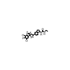 CCNC(=O)NC1CCc2cc(C3=NSC(c4cc(Cl)c(F)c(Cl)c4)(C(F)(F)F)C3)ccc21